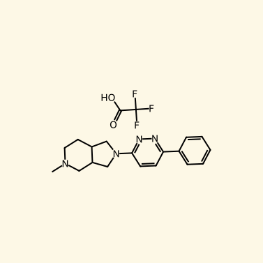 CN1CCC2CN(c3ccc(-c4ccccc4)nn3)CC2C1.O=C(O)C(F)(F)F